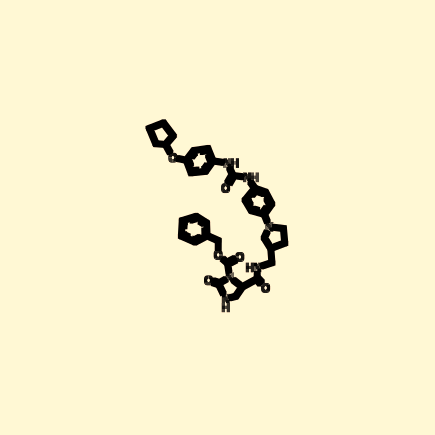 O=C(Nc1ccc(OC2CCCC2)cc1)Nc1ccc(N2CCC(CNC(=O)C3CNC(=O)N3C(=O)OCc3ccccc3)C2)cc1